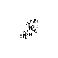 CCN(CC)C(=O)Nc1cccc(Cn2c(=O)c3ccccc3n3c(-c4cc(Br)ccc4N4CCCC4)nnc23)c1